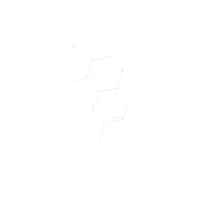 C[n+]1cc2c(O)c(O)ccc2cc1SS